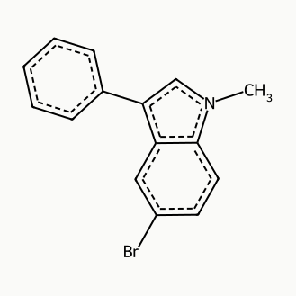 Cn1cc(-c2ccccc2)c2cc(Br)ccc21